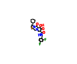 O=C(NCc1ccc(F)cc1F)c1cn2c(c(O)c1=O)C(=O)N1C(C2)SC[C@@H]1C1CCCCC1